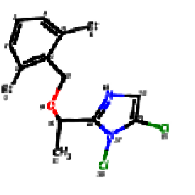 CCc1cccc(CC)c1COC(C)c1ncc(Cl)n1Cl